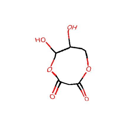 O=C1OCC(O)C(O)OC1=O